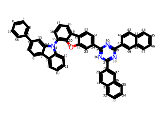 c1ccc(-c2ccc3c4ccccc4n(-c4cccc5c4oc4cc(-c6nc(-c7ccc8ccccc8c7)nc(-c7ccc8ccccc8c7)n6)ccc45)c3c2)cc1